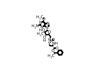 COc1nc(N)nc2c1ncn2[C@@H]1OC(CO[P@@]2(=O)N[C@H](C(=O)O[C@@H](C)c3ccccc3)CS2)[C@@H](O)[C@@]1(C)O